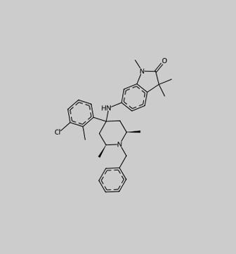 Cc1c(Cl)cccc1C1(Nc2ccc3c(c2)N(C)C(=O)C3(C)C)C[C@@H](C)N(Cc2ccccc2)[C@@H](C)C1